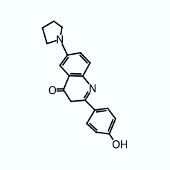 O=C1CC(c2ccc(O)cc2)=Nc2ccc(N3CCCC3)cc21